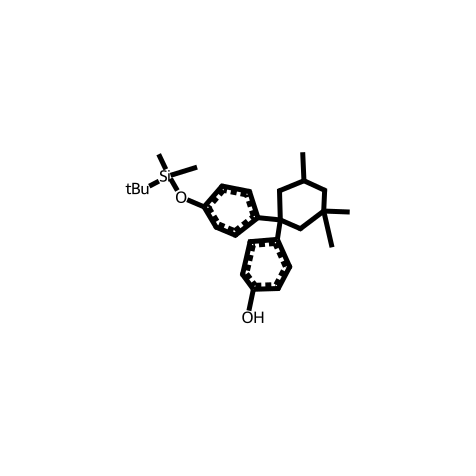 CC1CC(C)(C)CC(c2ccc(O)cc2)(c2ccc(O[Si](C)(C)C(C)(C)C)cc2)C1